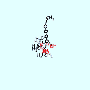 C=C(C)C(=O)OCC(CO)(CCOc1c(CCCC)cc(-c2ccc(-c3ccc(C4CCC(CCCCC)CC4)cc3)cc2CC)cc1CCCO)COC(=O)C(=C)C